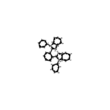 c1ccc(-n2c(-c3ccccc3-c3nc4ccccc4n3-c3ccccc3)nc3ccccc32)cc1